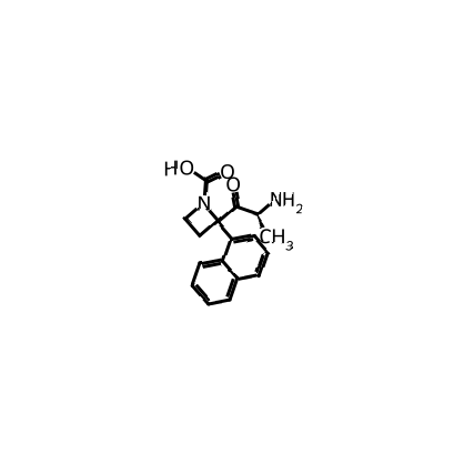 C[C@H](N)C(=O)C1(c2cccc3ccccc23)CCN1C(=O)O